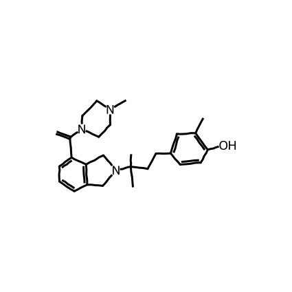 C=C(c1cccc2c1CN(C(C)(C)CCc1ccc(O)c(C)c1)C2)N1CCN(C)CC1